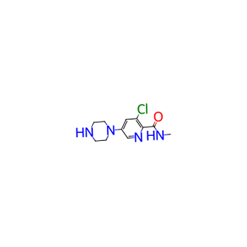 CNC(=O)c1ncc(N2CCNCC2)cc1Cl